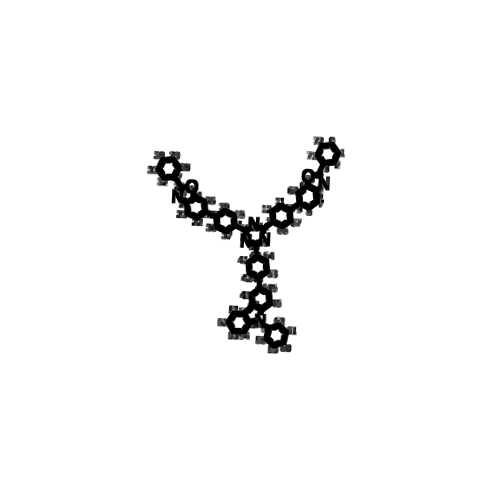 c1ccc(-c2nc3ccc(-c4ccc(-c5nc(-c6ccc(-c7ccc8nc(-c9ccccc9)oc8c7)cc6)nc(-c6ccc(-c7ccc8c(c7)c7ccccc7n8-c7ccccc7)cc6)n5)cc4)cc3o2)cc1